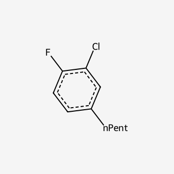 CCCCCc1ccc(F)c(Cl)c1